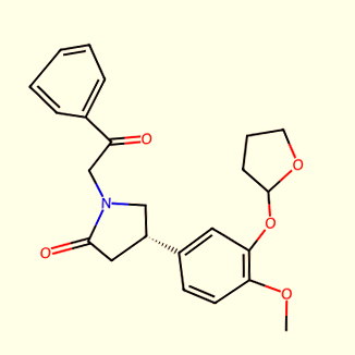 COc1ccc([C@@H]2CC(=O)N(CC(=O)c3ccccc3)C2)cc1OC1CCCO1